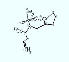 C=CCC(C)[C@H](CC1CCCO1)S(N)(=O)=O